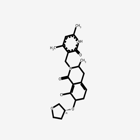 Cc1cc(C)c(CN2C(=O)C3=C(Cl)C(O[C@@H]4CCOC4)CC=C3CC2C)c(=O)[nH]1